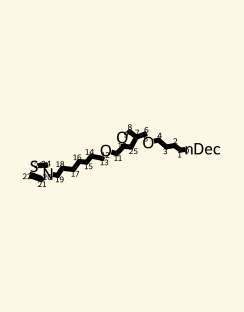 CCCCCCCCCCCCCCOCC1COC(COCCCCCCCN2C=CSC2)C1